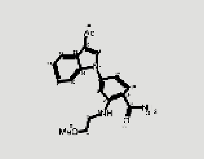 COCCNc1cc(-n2cc(C(C)=O)c3ccccc32)ccc1C(N)=O